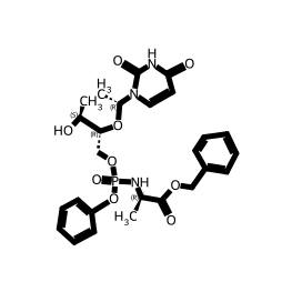 C[C@H](O)[C@@H](COP(=O)(N[C@H](C)C(=O)OCc1ccccc1)Oc1ccccc1)O[C@H](C)n1ccc(=O)[nH]c1=O